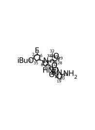 CC(C)COc1cc(F)cc(-c2ccc(C(=O)NS(=O)(=O)c3cccc(N)n3)c(C3=CC(C)(C)OC3(C)C)n2)c1